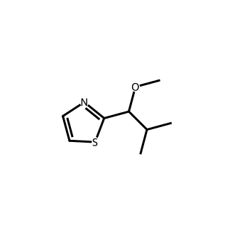 COC(c1nccs1)C(C)C